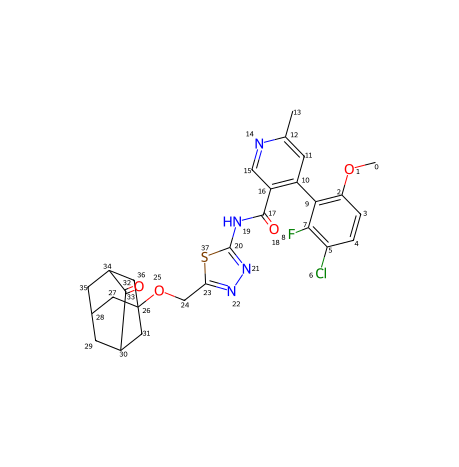 COc1ccc(Cl)c(F)c1-c1cc(C)ncc1C(=O)Nc1nnc(COC23CC4CC(C2)C(=O)C(C4)C3)s1